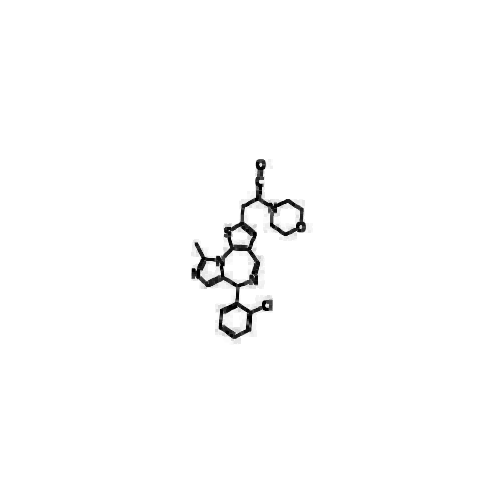 Cc1ncc2n1-c1sc(CC(=C=O)N3CCOCC3)cc1C=NC2c1ccccc1Cl